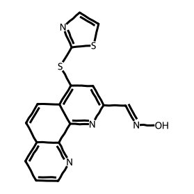 ON=Cc1cc(Sc2nccs2)c2ccc3cccnc3c2n1